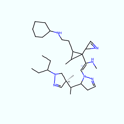 CCC(CC)N1C[C@@](C)(C(C)C2CC=NN2/C=C(\NC)C2(C3C=N3)C(C)C2CCNC2CCCCC2)C=N1